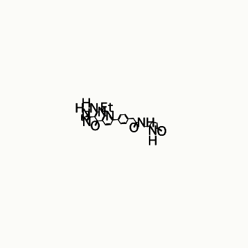 CCn1c(N)c(-c2ncc[nH]2)c(=O)c2ccc(-c3ccc(CC(=O)NCC4CCC(=O)N4)cc3)nc21